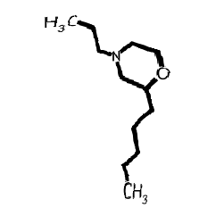 CCCCCC1CN(CCC)CCO1